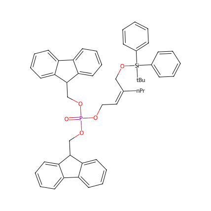 CCCC(=CCOP(=O)(OCC1c2ccccc2-c2ccccc21)OCC1c2ccccc2-c2ccccc21)CO[Si](c1ccccc1)(c1ccccc1)C(C)(C)C